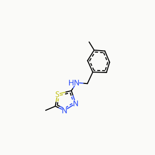 Cc1cccc(CNc2nnc(C)s2)c1